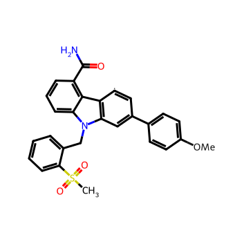 COc1ccc(-c2c[c]c3c4c(C(N)=O)cccc4n(Cc4ccccc4S(C)(=O)=O)c3c2)cc1